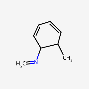 C=NC1C=CC=CC1C